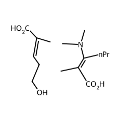 C/C(=C\CCO)C(=O)O.CCC/C(=C(/C)C(=O)O)N(C)C